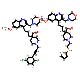 COc1ccc2ncc(CN3CCOCC3)c(CCCC3(CO)CCN(CC#Cc4cc(F)cc(F)c4F)CC3)c2c1.COc1ccc2ncc(CN3CCOCC3)c(CCCC3(CO)CCN(CCSc4cccs4)CC3)c2c1